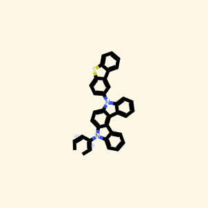 C/C=C\C(=C/C)n1c2ccccc2c2c3c4ccccc4n(-c4ccc5sc6ccccc6c5c4)c3ccc21